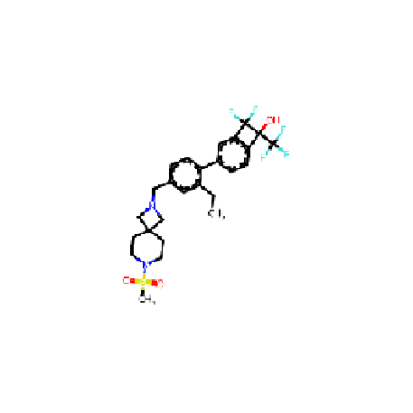 CCc1cc(CN2CC3(CCN(S(C)(=O)=O)CC3)C2)ccc1-c1ccc2c(c1)C(F)(F)C2(O)C(F)(F)F